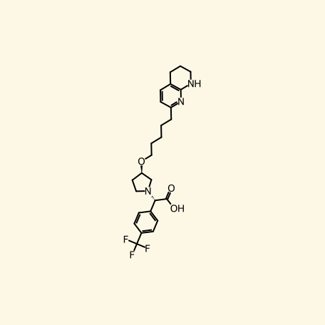 O=C(O)[C@H](c1ccc(C(F)(F)F)cc1)N1CC[C@@H](OCCCCCc2ccc3c(n2)NCCC3)C1